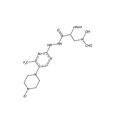 CCCCCC(CN(O)C=O)C(=O)NNc1ncc(N2CCN(CC)CC2)c(C(F)(F)F)n1